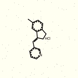 Cc1ccc2c(c1)C(=Cc1cccnc1)CC2.Cl